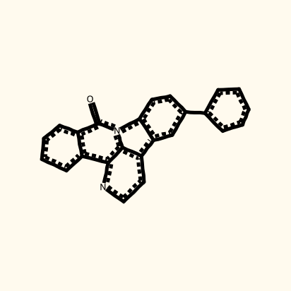 O=c1c2ccccc2c2nccc3c4cc(-c5ccccc5)ccc4n1c32